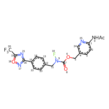 CC(=O)Nc1ccc(COC(=O)N(F)Cc2ccc(-c3noc(C(F)(F)F)n3)cc2)cn1